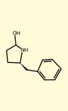 OC1CC[C@H](Cc2ccccc2)N1